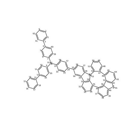 c1ccc(-c2ccc(N(c3ccc(-c4ccccc4)cc3)c3ccc(-c4ccc5c(c4)c4cccc6c7cccc8sc9cccc(c%10ccccc%10n5c64)c9c87)cc3)cc2)cc1